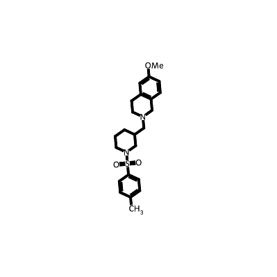 COc1ccc2c(c1)CCN(CC1CCCN(S(=O)(=O)c3ccc(C)cc3)C1)C2